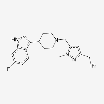 CC(C)Cc1cc(CN2CCC(c3c[nH]c4cc(F)ccc34)CC2)n(C)n1